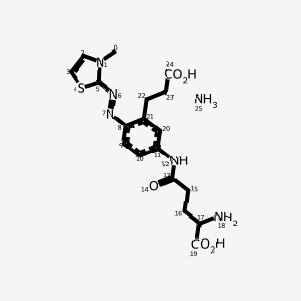 CN1C=CSC1N=Nc1ccc(NC(=O)CCC(N)C(=O)O)cc1CCC(=O)O.N